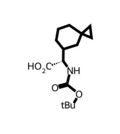 CC(C)(C)OC(=O)N[C@H](C(=O)O)C1CCCC2(CC2)C1